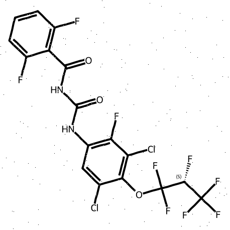 O=C(NC(=O)c1c(F)cccc1F)Nc1cc(Cl)c(OC(F)(F)[C@H](F)C(F)(F)F)c(Cl)c1F